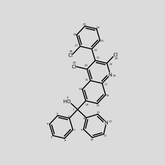 OC(c1ccccc1)(c1cccnc1)c1ccc2nc(Cl)c(-c3ccccc3Cl)c(Cl)c2c1